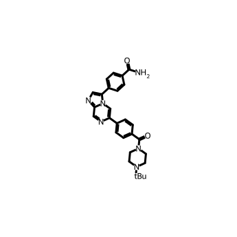 CC(C)(C)N1CCN(C(=O)c2ccc(-c3cn4c(-c5ccc(C(N)=O)cc5)cnc4cn3)cc2)CC1